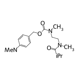 CNc1ccc(COC(=O)N(C)CCN(C)C(=O)C(C)C)cc1